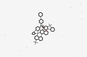 CC(C)(C)c1cc2c(c3ccccc13)-c1cccc3c(C(C)(C)C)ccc(c13)C21c2ccccc2-c2ccc(N(c3ccc(-c4ccccc4)cc3)c3ccc4c(c3)C(C)(C)c3ccccc3-4)cc21